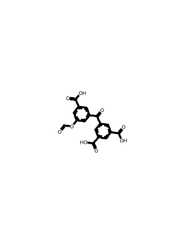 O=COc1cc(C(=O)O)cc(C(=O)c2cc(C(=O)O)cc(C(=O)O)c2)c1